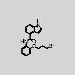 O=C(Nc1ccccc1OCCCBr)c1cccc2[nH]ccc12